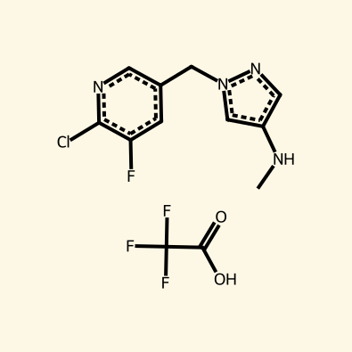 CNc1cnn(Cc2cnc(Cl)c(F)c2)c1.O=C(O)C(F)(F)F